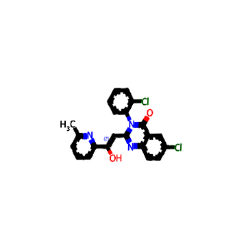 Cc1cccc(/C(O)=C/c2nc3ccc(Cl)cc3c(=O)n2-c2ccccc2Cl)n1